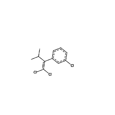 CC(C)C(=C(Cl)Cl)c1cccc(Cl)c1